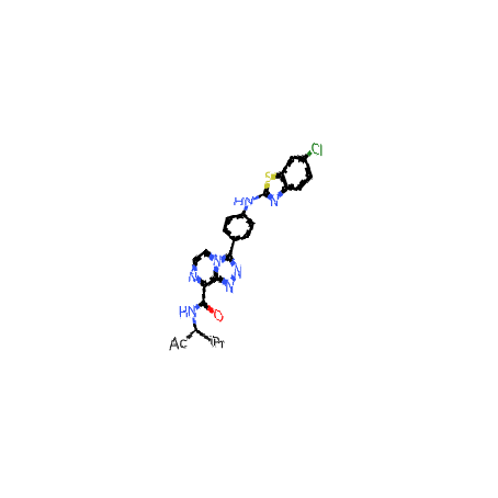 CC(=O)[C@@H](NC(=O)c1nccn2c(-c3ccc(Nc4nc5ccc(Cl)cc5s4)cc3)nnc12)C(C)C